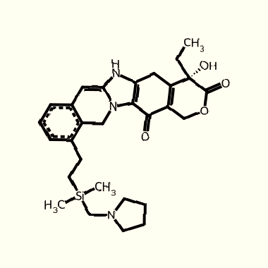 CC[C@@]1(O)C(=O)OCC2=C1CC1=C(C2=O)N2Cc3c(cccc3CC[Si](C)(C)CN3CCCC3)C=C2N1